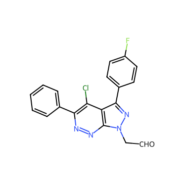 O=CCn1nc(-c2ccc(F)cc2)c2c(Cl)c(-c3ccccc3)nnc21